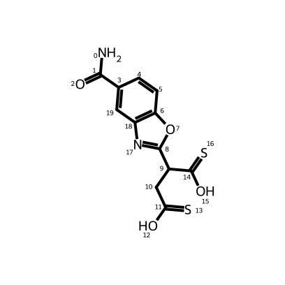 NC(=O)c1ccc2oc(C(CC(O)=S)C(O)=S)nc2c1